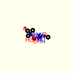 COc1ccc(C(NC[C@H]2O[C@@H](n3cnc4c(NC(=O)c5ccccc5)ncnc43)C(O)[C@H]2O)(c2ccccc2)c2ccccc2)cc1